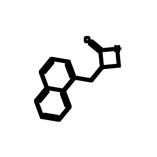 O=C1[N]CC1Cc1cccc2ccccc12